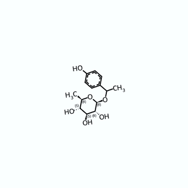 CC(O[C@@H]1O[C@H](C)[C@@H](O)[C@H](O)[C@H]1O)c1ccc(O)cc1